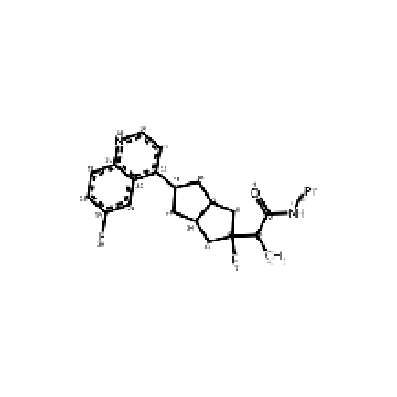 CC(C)NC(=O)C(C)C1(F)CC2CC(c3ccnc4ccc(F)cc34)CC2C1